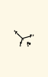 FC(F)F.[Fe]